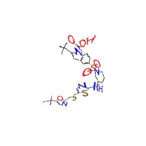 CC(C)(C)c1cnc(CSc2cnc(NC3CCCN(S(=O)(=O)c4ccc5c(c4)CC(C(C)(C)C)N5C(=O)O)C3)s2)o1